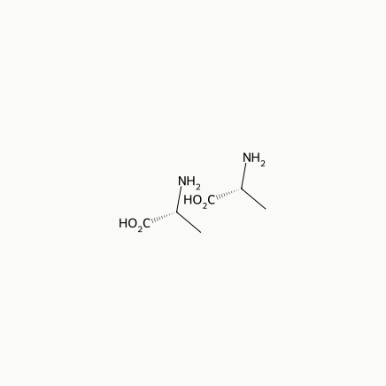 C[C@@H](N)C(=O)O.C[C@@H](N)C(=O)O